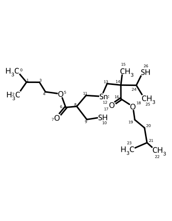 CC(C)CCOC(=O)C(CS)[CH2][Sn][CH2]C(C)(C(=O)OCCC(C)C)C(C)S